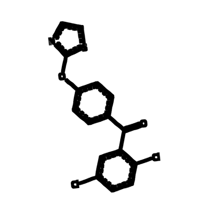 O=C(c1ccc(Oc2nccs2)cc1)c1cc(Cl)ccc1Cl